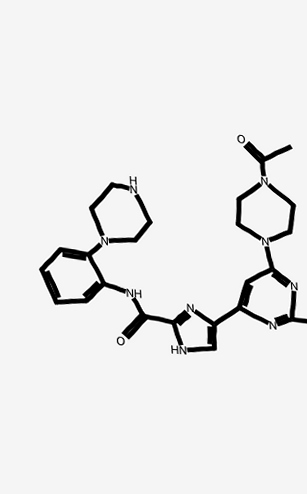 CC(=O)N1CCN(c2cc(-c3c[nH]c(C(=O)Nc4ccccc4N4CCNCC4)n3)nc(C)n2)CC1